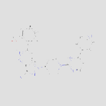 Nc1nn(C2CCN(c3nccc(C4CCNCC4)n3)CC2)c2cc(-c3ccccc3O)nnc12